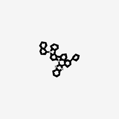 c1ccc(-c2ccc(-c3nc4ccccc4nc3-n3c4ccccc4c4c5c6ccccc6n(-c6cccc7ccccc67)c5ccc43)cc2)cc1